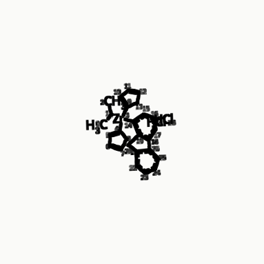 C[C](C)=[Zr]([C]1=CC=CC1)([C]1=CC=CC1)[c]1cccc2c1Cc1ccccc1-2.Cl.Cl